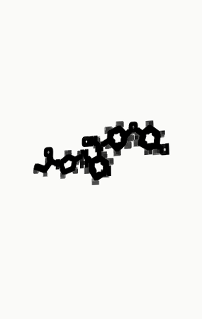 C=CC(=O)N1CCC(Nc2ccncc2N(N=O)c2ccc(Oc3ccc(Cl)cc3)cc2)C1